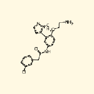 Cn1nccc1-c1cc(NC(=O)Cc2cccc(Cl)c2)ccc1OCCN